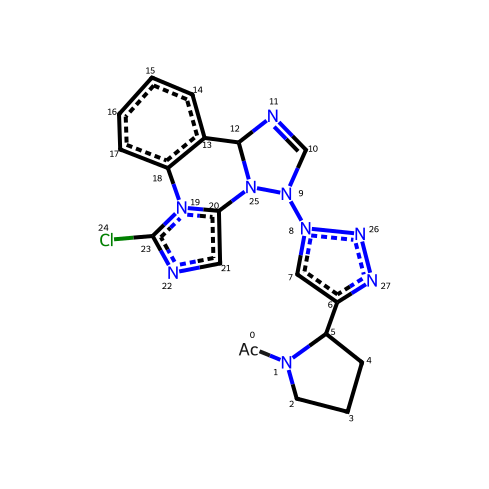 CC(=O)N1CCCC1c1cn(N2C=NC3c4ccccc4-n4c(cnc4Cl)N32)nn1